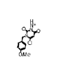 COc1ccc(Cn2c(Cl)cc(=O)n(N)c2=O)cc1